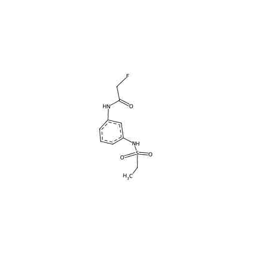 CCS(=O)(=O)Nc1cccc(NC(=O)CF)c1